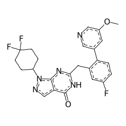 COc1cncc(-c2ccc(F)cc2Cc2nc3c(cnn3C3CCC(F)(F)CC3)c(=O)[nH]2)c1